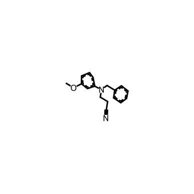 COc1cccc(N(CCC#N)Cc2ccccc2)c1